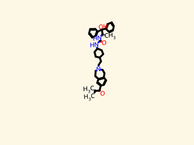 CC(C)C(=O)c1ccc2c(c1)CCN(CCC1CCC(NC(=O)N[C@@H](C)C(O)(c3ccccc3)c3ccccc3)CC1)CC2